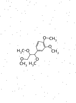 COCC(OC)C(OC)c1ccc(OC)c(OC)c1